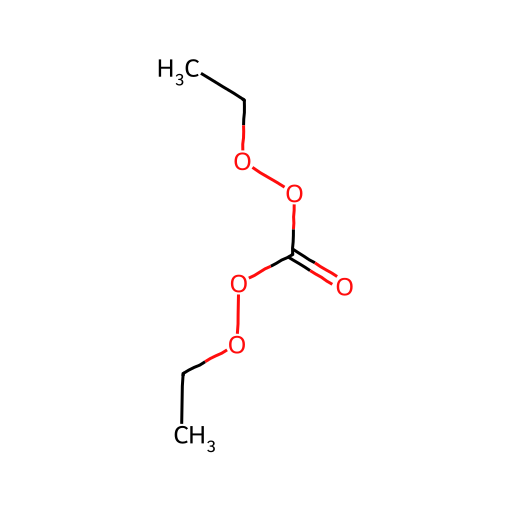 CCOOC(=O)OOCC